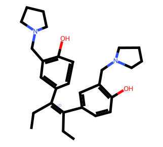 CC/C(=C(\CC)c1ccc(O)c(CN2CCCC2)c1)c1ccc(O)c(CN2CCCC2)c1